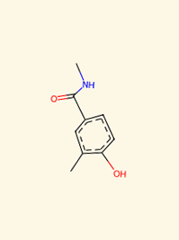 CNC(=O)c1ccc(O)c(C)c1